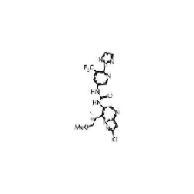 COC[C@H](C)c1c(NC(=O)Nc2cnc(-n3nccn3)c(C(F)(F)F)c2)cnc2cc(Cl)nn12